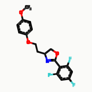 Fc1cc(F)c(C2=NC(CCOc3ccc(OC(F)(F)F)cc3)CO2)c(F)c1